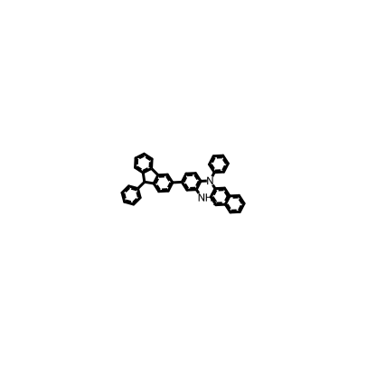 Nc1cc(-c2ccc3c(c2)-c2ccccc2C3c2ccccc2)ccc1N(c1ccccc1)c1ccc2ccccc2c1